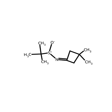 CC1(C)CC(=N[S+]([O-])C(C)(C)C)C1